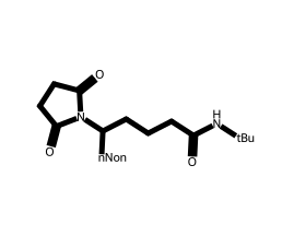 CCCCCCCCCC(CCCC(=O)NC(C)(C)C)N1C(=O)CCC1=O